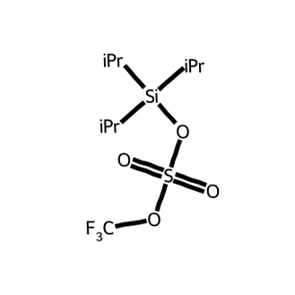 CC(C)[Si](OS(=O)(=O)OC(F)(F)F)(C(C)C)C(C)C